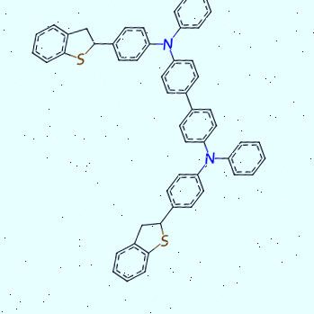 c1ccc(N(c2ccc(-c3ccc(N(c4ccccc4)c4ccc(C5Cc6ccccc6S5)cc4)cc3)cc2)c2ccc(C3Cc4ccccc4S3)cc2)cc1